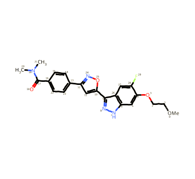 COCCOc1cc2[nH]nc(-c3cc(-c4ccc(C(=O)N(C)C)cc4)no3)c2cc1F